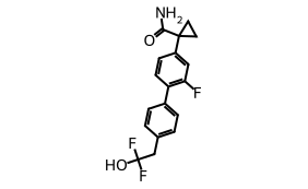 NC(=O)C1(c2ccc(-c3ccc(CC(O)(F)F)cc3)c(F)c2)CC1